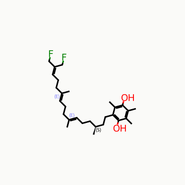 C/C(=C\CC/C(C)=C/CC[C@H](C)CCc1c(C)c(O)c(C)c(C)c1O)CCC=C(CF)CF